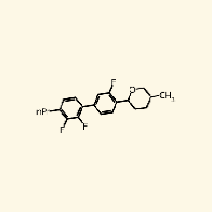 CCCc1ccc(-c2ccc(C3CCC(C)CO3)c(F)c2)c(F)c1F